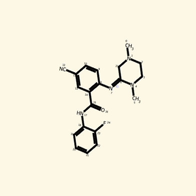 CN1CCN(C)/C(=N/c2ccc(C#N)cc2C(=O)Nc2ccccc2F)C1